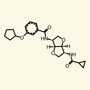 O=C(N[C@H]1CO[C@H]2[C@@H]1OC[C@@H]2NC(=O)C1CC1)c1cccc(OC2CCCC2)c1